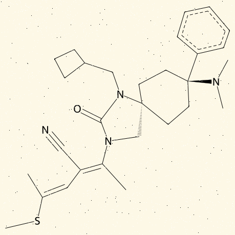 CS/C(C)=C/C(C#N)=C(\C)N1C[C@]2(CC[C@](c3ccccc3)(N(C)C)CC2)N(CC2CCC2)C1=O